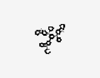 c1ccc(N(c2cc(-c3ccc4c(c3)c3ccccc3n4-c3ccccc3)cc(N(c3ccccc3)c3ccc4c(c3)sc3ccccc34)c2)c2ccc3c(c2)sc2ccccc23)cc1